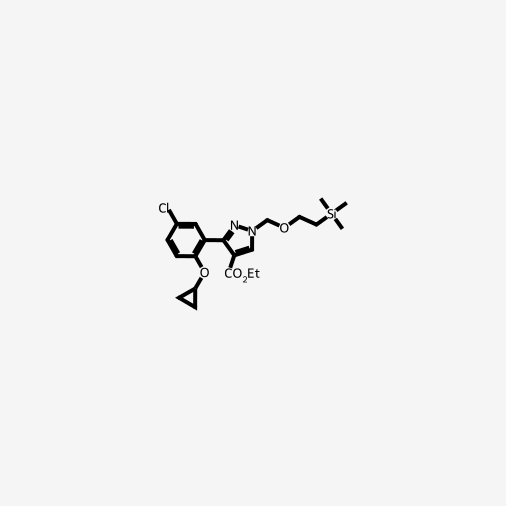 CCOC(=O)c1cn(COCC[Si](C)(C)C)nc1-c1cc(Cl)ccc1OC1CC1